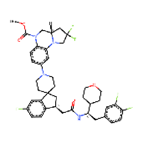 CC(C)(C)OC(=O)N1C[C@@H]2CC(F)(F)CN2c2cc(N3CCC4(CC3)C[C@@H](CC(=O)N[C@H](Cc3ccc(F)c(F)c3)C3CCOCC3)c3ccc(F)cc34)ccc21